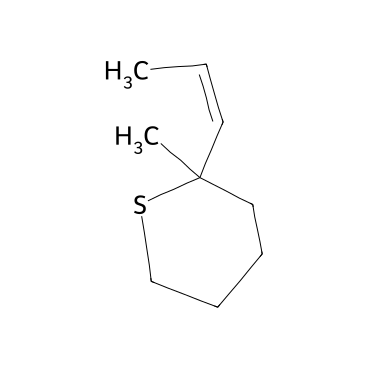 C/C=C\C1(C)CCCCS1